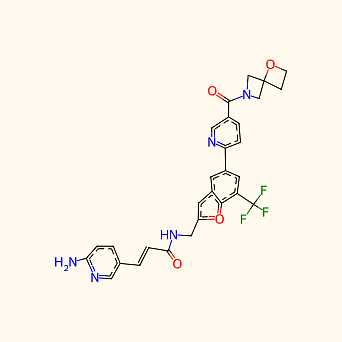 Nc1ccc(C=CC(=O)NCc2cc3cc(-c4ccc(C(=O)N5CC6(CCO6)C5)cn4)cc(C(F)(F)F)c3o2)cn1